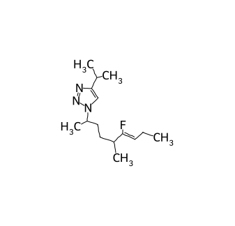 CC/C=C(\F)C(C)CCC(C)n1cc(C(C)C)nn1